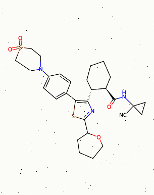 N#CC1(NC(=O)[C@@H]2CCCC[C@H]2c2nc(C3CCCCO3)sc2-c2ccc(N3CCS(=O)(=O)CC3)cc2)CC1